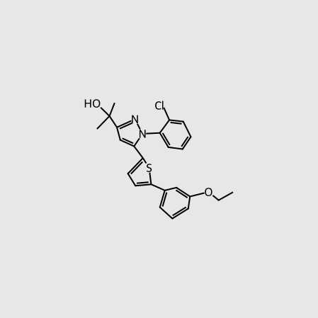 CCOc1cccc(-c2ccc(-c3cc(C(C)(C)O)nn3-c3ccccc3Cl)s2)c1